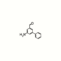 Nc1cc(C=O)cc(-c2ccccc2)c1